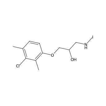 Cc1ccc(OCC(O)CNI)c(C)c1Cl